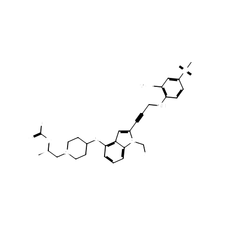 COc1cc(S(C)(=O)=O)ccc1NCC#Cc1cc2c(NC3CCN(C[C@@H](C)OC(=O)C(C)C)CC3)cccc2n1CC(F)(F)F